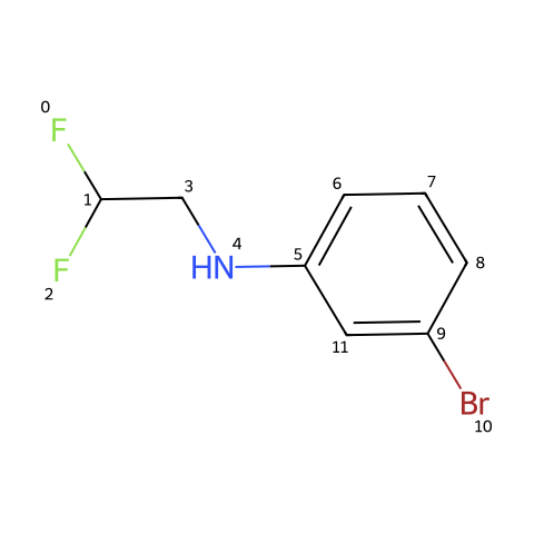 FC(F)CNc1cccc(Br)c1